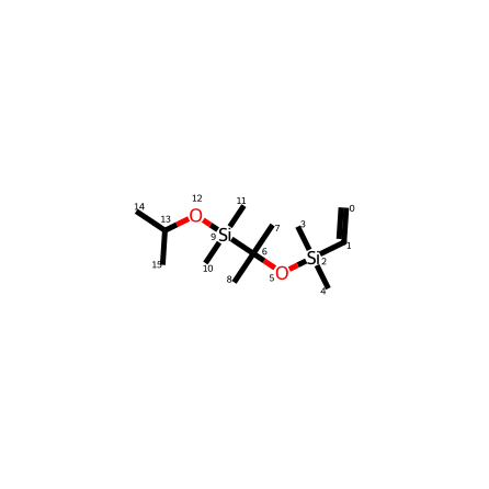 C=C[Si](C)(C)OC(C)(C)[Si](C)(C)OC(C)C